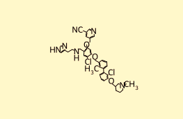 Cc1c(COc2cc(OCc3cncc(C#N)c3)c(CNCCc3c[nH]cn3)cc2Cl)cccc1-c1cccc(OCC2CCCN(C)C2)c1Cl